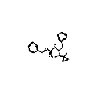 CC1([C@H](O)[C@H](Cc2ccccc2)NC(=O)OCc2ccccc2)CO1